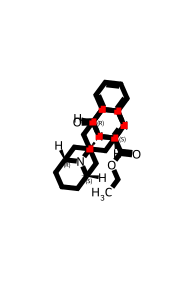 CCOC(=O)c1nc2ccccc2c(=O)n1[C@H]1C[C@H]2CCC[C@@H](C1)N2C1C[C@H]2CCC[C@@H](C1)C2